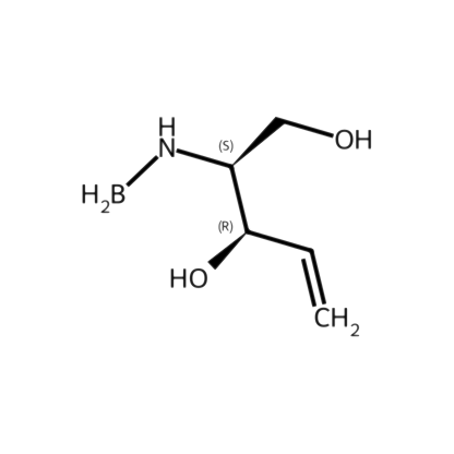 BN[C@@H](CO)[C@H](O)C=C